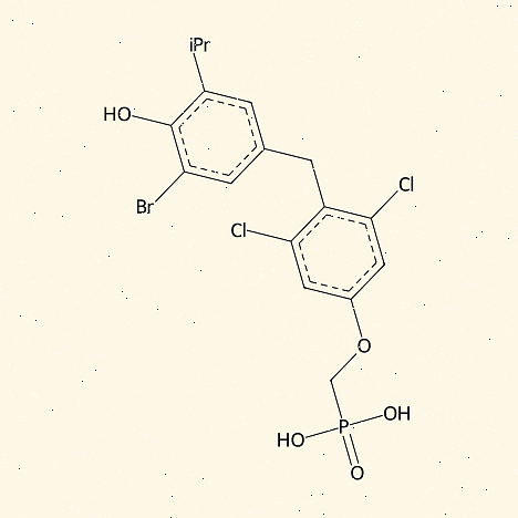 CC(C)c1cc(Cc2c(Cl)cc(OCP(=O)(O)O)cc2Cl)cc(Br)c1O